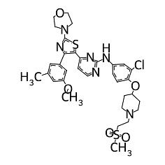 COc1cc(C)cc(-c2nc(N3CCOCC3)sc2-c2ccnc(Nc3ccc(OC4CCN(CCS(C)(=O)=O)CC4)c(Cl)c3)n2)c1